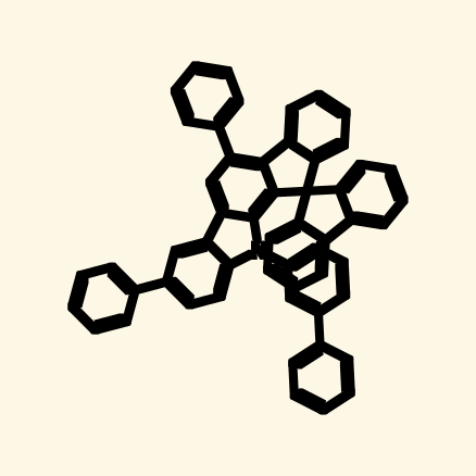 c1ccc(-c2cccc(-n3c4ccc(-c5ccccc5)cc4c4cc(-c5ccccc5)c5c(c43)C3(c4ccccc4-c4ccccc43)c3ccccc3-5)c2)cc1